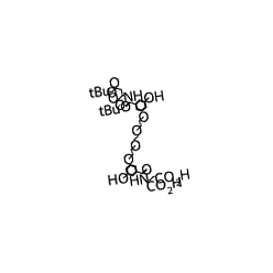 CC(C)(C)OC(=O)CC(NC(=O)c1cc(O)cc(OCCOCCOCCOc2cc(O)cc(C(=O)NC(CC(=O)O)C(=O)O)c2)c1)C(=O)OC(C)(C)C